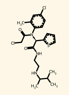 Cc1cc(Cl)ccc1N(C(=O)CCl)[C@H](C(=O)NCCNC(C)C(C)C)c1cccs1